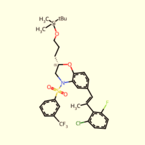 CC(=Cc1ccc2c(c1)N(S(=O)(=O)c1cccc(C(F)(F)F)c1)C[C@H](CCCO[Si](C)(C)C(C)(C)C)O2)c1c(F)cccc1Cl